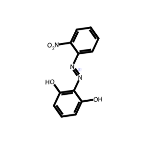 O=[N+]([O-])c1ccccc1/N=N/c1c(O)cccc1O